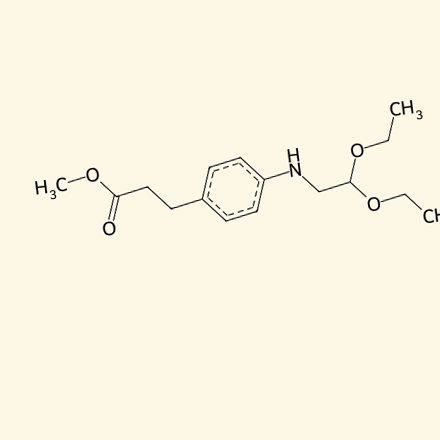 CCOC(CNc1ccc(CCC(=O)OC)cc1)OCC